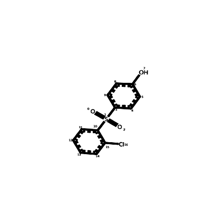 O=S(=O)(c1ccc(O)cc1)c1ccccc1Cl